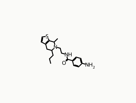 CCCC1Cc2ccsc2C(C)N1CCNC(=O)c1ccc(N)cc1